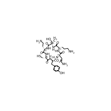 C[C@@H](O)[C@H](NC(=O)[C@H](CCCN)NC(=O)[C@@H](N)CCN)C(=O)N[C@@H](CCN)C(=O)N[C@@H](CS)C(=O)N[C@@H](Cc1ccc(O)cc1)C(=O)O